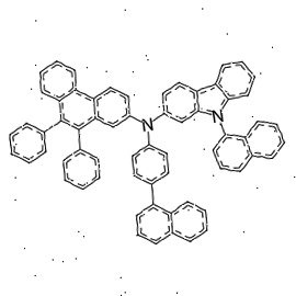 c1ccc(-c2c(-c3ccccc3)c3cc(N(c4ccc(-c5cccc6ccccc56)cc4)c4ccc5c6ccccc6n(-c6cccc7ccccc67)c5c4)ccc3c3ccccc23)cc1